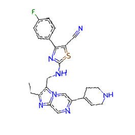 CCc1nc2cnc(C3=CCNCC3)cn2c1CNc1nc(-c2ccc(F)cc2)c(C#N)s1